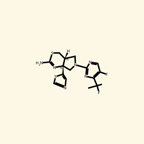 CC(C)(F)c1nc(N2C[C@H]3CSC(N)=N[C@@]3(c3cncs3)C2)ncc1F